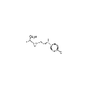 CC(=CCC1CC1C(C)C(=O)O)c1ccc(Cl)cc1